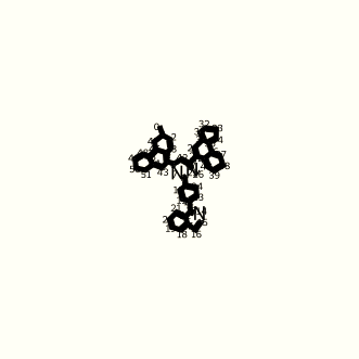 CC1C=Cc2c(C3=NC(c4ccc(-c5nccc6ccccc56)cc4)N(C)C(c4cc5ccccc5c5ccccc45)=C3)cc3c(c2C1)C=CCC3